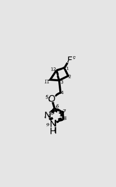 FC1CC2(COc3cc[nH]n3)CC12